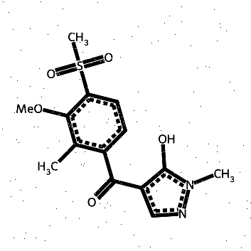 COc1c(S(C)(=O)=O)ccc(C(=O)c2cnn(C)c2O)c1C